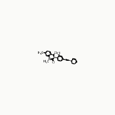 Cc1ccc2c(=O)n(-c3ccc(C#Cc4ccccc4)cc3Cl)c(=O)n(C)c2c1